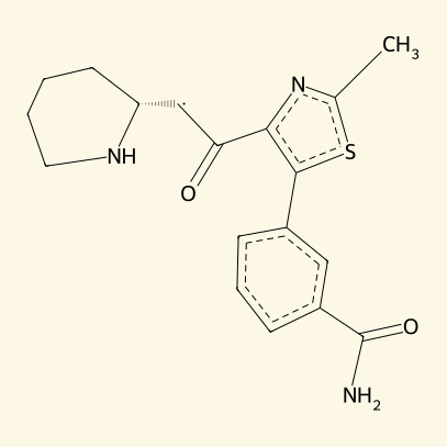 Cc1nc(C(=O)[CH][C@H]2CCCCN2)c(-c2cccc(C(N)=O)c2)s1